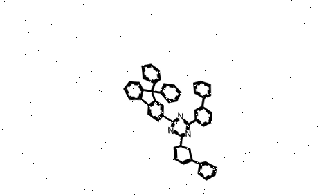 C1=CC(c2nc(-c3cccc(-c4ccccc4)c3)nc(-c3ccc4c(c3)C(c3ccccc3)(c3ccccc3)c3ccccc3-4)n2)CC(c2ccccc2)=C1